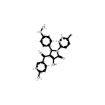 Cc1ccc(N2C(=O)C(O)=C(C(=O)c3ccc(C(F)(F)F)nc3)C2c2ccc(OC(F)(F)F)cc2)nn1